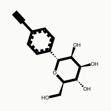 C#Cc1ccc([C@H]2O[C@H](CO)[C@@H](O)[C@H](O)[C@@H]2O)cc1